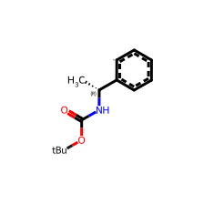 C[C@@H](NC(=O)OC(C)(C)C)c1[c]cccc1